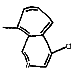 Cc1cccc2c(Cl)cncc12